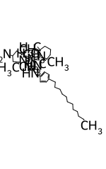 CCCCCCCCCCCCc1ccc(Nc2nc(N3C(C)(C)CCCC3(C)C)nc(N3C(C)(C)CC(N)CC3(C)C)n2)cc1